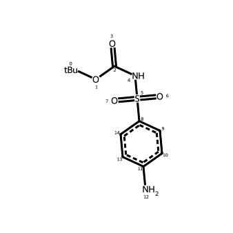 CC(C)(C)OC(=O)NS(=O)(=O)c1ccc(N)cc1